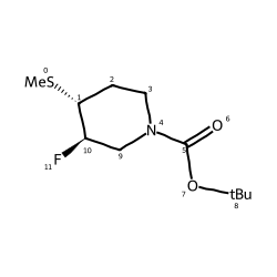 CS[C@@H]1CCN(C(=O)OC(C)(C)C)C[C@H]1F